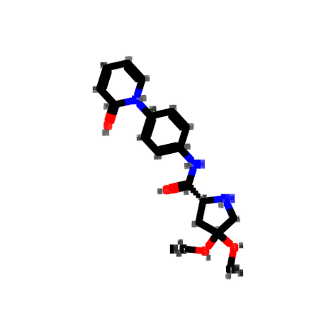 COC1(OC)CN[C@@H](C(=O)Nc2ccc(-n3ccccc3=O)cc2)C1